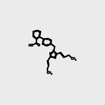 CC/C=C/c1nc(/C=C/CC)n(Cc2ccc(-c3ccccc3C(=O)O)cc2)n1